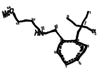 CCC(C)(C)c1ccccc1CNCCOC